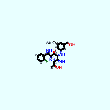 COc1cc(CO)cc(NC(C(=N)CC(C)O)C(=O)C(=N)C(=N)c2ccccc2F)c1